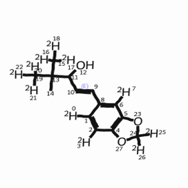 [2H]c1c([2H])c2c(c([2H])c1/C=C/C(O)C(C)(C([2H])([2H])[2H])C([2H])([2H])[2H])OC([2H])([2H])O2